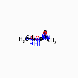 CCn1ncc2c(N3CC4CCC(C3)O4)nc(-c3ccc(NC(=O)NCCC(=O)NCCN(C)C)cc3)nc21